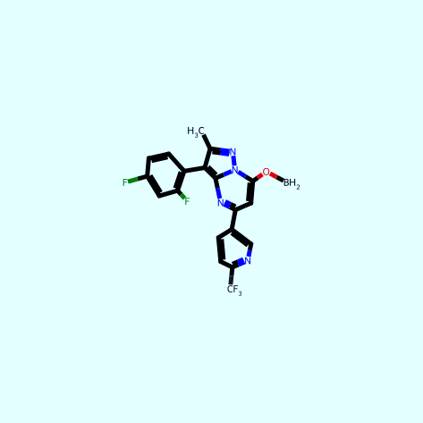 BOc1cc(-c2ccc(C(F)(F)F)nc2)nc2c(-c3ccc(F)cc3F)c(C)nn12